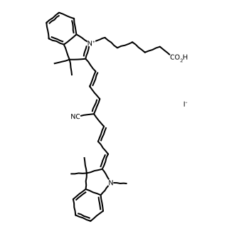 CN1/C(=C/C=C/C(C#N)=C/C=C/C2=[N+](CCCCCC(=O)O)c3ccccc3C2(C)C)C(C)(C)c2ccccc21.[I-]